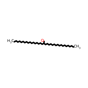 CCCCCCCCCCCCCCCCCCC(C=O)CCCCCCCCCCCCCCCCCC